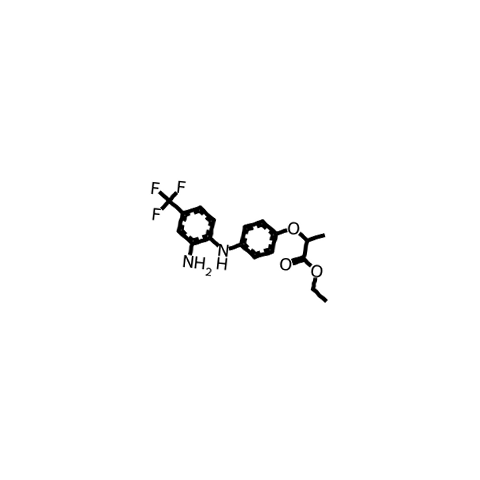 CCOC(=O)C(C)Oc1ccc(Nc2ccc(C(F)(F)F)cc2N)cc1